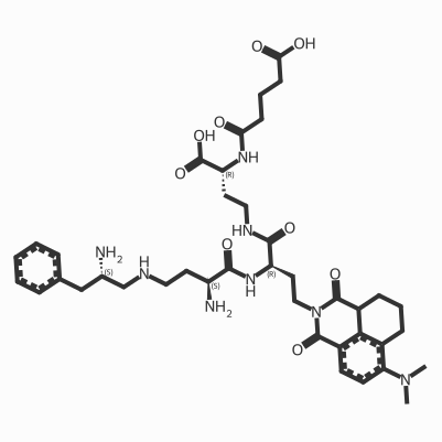 CN(C)c1ccc2c3c1CCCC3C(=O)N(CC[C@@H](NC(=O)[C@@H](N)CCNC[C@@H](N)Cc1ccccc1)C(=O)NCC[C@@H](NC(=O)CCCC(=O)O)C(=O)O)C2=O